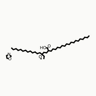 C1=NCCO1.CCCCCCCCCCCCCCCCCCC(CCC(CC)(CCCCCCCCCCCCC)OC)C(=O)O